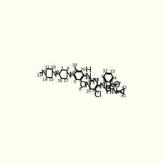 COc1cc(N2CCC(N3CCN(C)CC3)CC2)c(C)cc1Nc1ncc(Cl)c(Nc2ccccc2S(=O)(=O)NC2CC2)n1